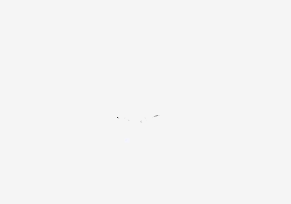 C/C=C1/C[C@@H]2C[C@H]1CC2COC(C)OCC